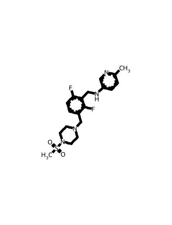 Cc1ccc(NCc2c(F)ccc(CN3CCN(S(C)(=O)=O)CC3)c2F)cn1